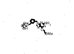 COCCOc1nc(N)nc2c1ncn2Cc1cccc(CSCP(=O)(O)O)c1